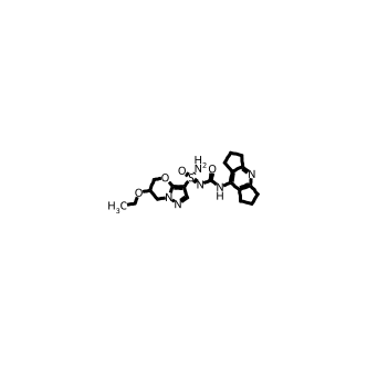 CCOC1COc2c(S(N)(=O)=NC(=O)Nc3c4c(nc5c3CCC5)CCC4)cnn2C1